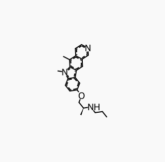 CCCN[C@@H](C)COc1ccc2c(c1)c1cc3cnccc3c(C)c1n2C